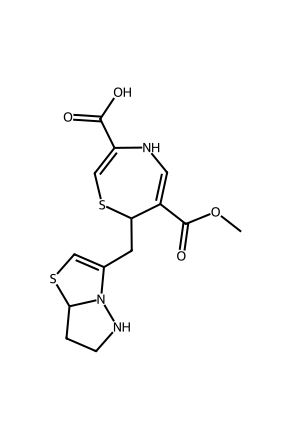 COC(=O)C1=CNC(C(=O)O)=CSC1CC1=CSC2CCNN12